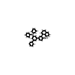 c1ccc(-c2cc(-c3ccc4c(c3)-c3cccc5cccc(c35)N4)cc(N(c3ccccc3)c3ccccc3)c2)cc1